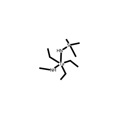 C[CH2][Ta]([CH2]C)([CH2]C)([NH]C)[NH][Si](C)(C)C